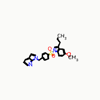 CCCc1cn(S(=O)(=O)c2ccc(Cn3ccc4cccnc43)cc2)c2ccc(OC)cc12